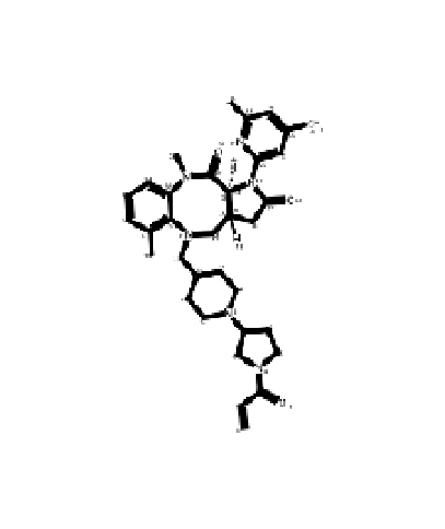 C=CC(=O)N1CCC(N2CCC(CN3C[C@H]4CC(=O)N(c5cc(C(F)(F)F)cc(C)n5)[C@@H]4C(=O)N(C)c4cccc(C)c43)CC2)C1